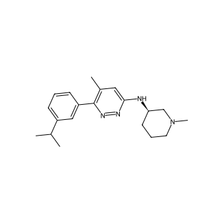 Cc1cc(N[C@@H]2CCCN(C)C2)nnc1-c1cccc(C(C)C)c1